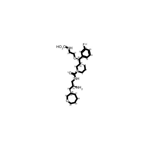 N[C@H](CNC(=O)N1CCC[C@@H]([C@@H](OCCNC(=O)O)c2cccc(F)c2)C1)C[C@H]1CCCCOC1